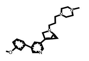 COc1cccc(-c2cncc(C3=C4C=C4N(CCCN4CCN(C)CC4)C3)c2)c1